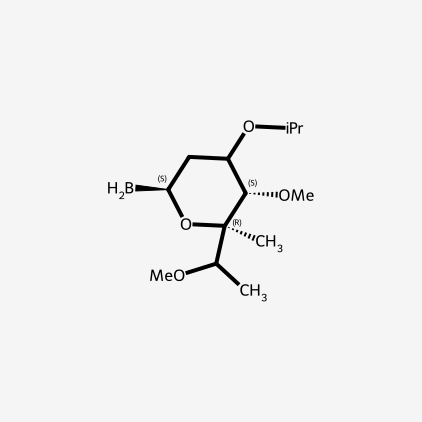 B[C@H]1CC(OC(C)C)[C@H](OC)[C@@](C)(C(C)OC)O1